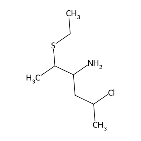 CCSC(C)C(N)CC(C)Cl